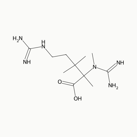 CN(C(=N)N)C(C)(C(=O)O)C(C)(C)CCNC(=N)N